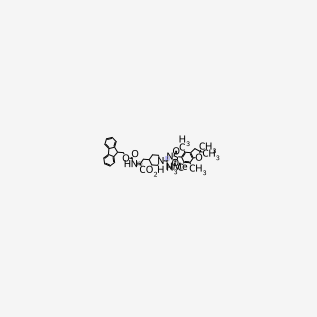 CN/C(=N\S(=O)(=O)c1c(C)c(C)c2c(c1C)CC(C)(C)O2)N1CCC(C[C@H](NC(=O)OCC2c3ccccc3-c3ccccc32)C(=O)O)CC1